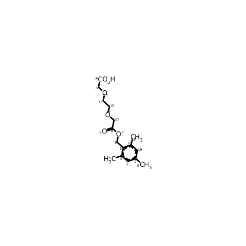 Cc1cc(C)c(COC(=O)COCCOCC(=O)O)c(C)c1